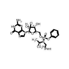 CCCC(C)CN([C@H](C)C(=O)O)[P@@](=O)(OC[C@H]1O[C@@H](n2cnc3c(=O)[nH]c(N)nc32)[C@](C)(Cl)[C@@H]1O)Oc1ccccc1